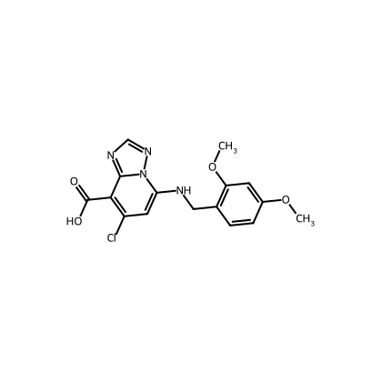 COc1ccc(CNc2cc(Cl)c(C(=O)O)c3ncnn23)c(OC)c1